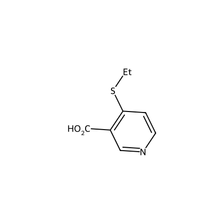 CCSc1ccncc1C(=O)O